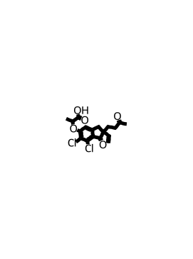 C=CC1(CCC(C)=O)Cc2cc(OC(C)C(=O)O)c(Cl)c(Cl)c2C1=O